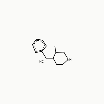 CC1CNCCC1Cc1ccccc1.Cl